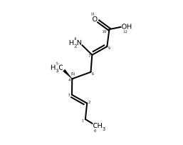 CCC=C[C@@H](C)CC(N)=CC(=O)O